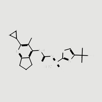 Cc1c(C2CC2)nc2c(c1NC(=O)N=[S@](N)(=O)c1nc(C(C)(C)O)cs1)CCC2